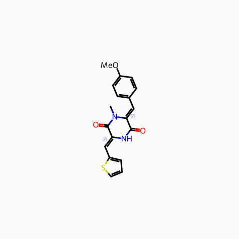 COc1ccc(/C=c2/c(=O)[nH]/c(=C\c3cccs3)c(=O)n2C)cc1